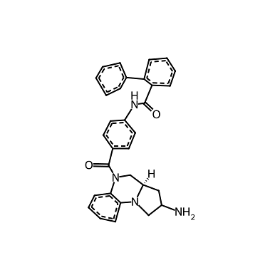 NC1C[C@@H]2CN(C(=O)c3ccc(NC(=O)c4ccccc4-c4ccccc4)cc3)c3ccccc3N2C1